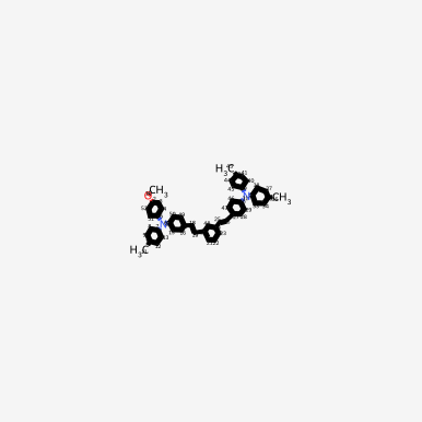 COc1ccc(N(c2ccc(C)cc2)c2ccc(C=Cc3cccc(C=Cc4ccc(N(c5ccc(C)cc5)c5ccc(C)cc5)cc4)c3)cc2)cc1